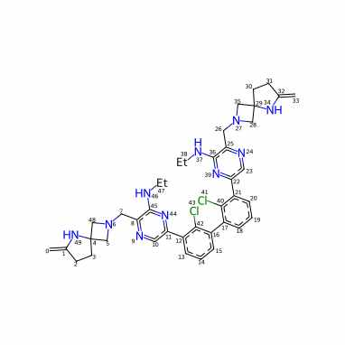 C=C1CCC2(CN(Cc3ncc(-c4cccc(-c5cccc(-c6cnc(CN7CC8(CCC(=C)N8)C7)c(NCC)n6)c5Cl)c4Cl)nc3NCC)C2)N1